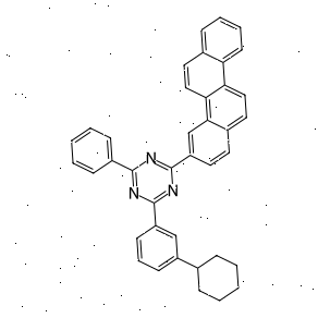 c1ccc(-c2nc(-c3cccc(C4CCCCC4)c3)nc(-c3ccc4ccc5c6ccccc6ccc5c4c3)n2)cc1